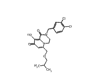 CC(C)COCc1cc(=O)c(O)c2n1CCN(Cc1ccc(Cl)c(Cl)c1)C2=O